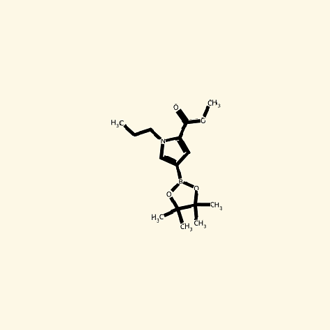 CCCn1cc(B2OC(C)(C)C(C)(C)O2)cc1C(=O)OC